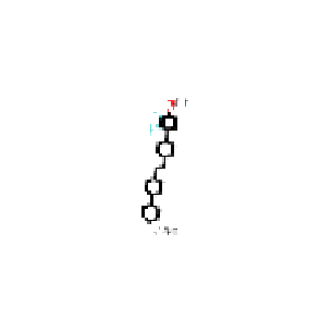 CCOc1ccc(C2CCC(CCC3CCC(C4CCC(OC)CC4)CC3)CC2)c(F)c1F